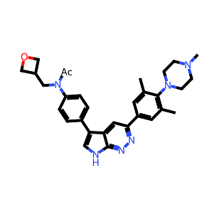 CC(=O)N(CC1COC1)c1ccc(-c2c[nH]c3nnc(-c4cc(C)c(N5CCN(C)CC5)c(C)c4)cc23)cc1